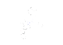 C[Si]1(C)c2ccccc2-c2c1ccc1c(-c3ccccc3)nc(-n3c4ccccc4c4c5oc6ccccc6c5ccc43)nc21